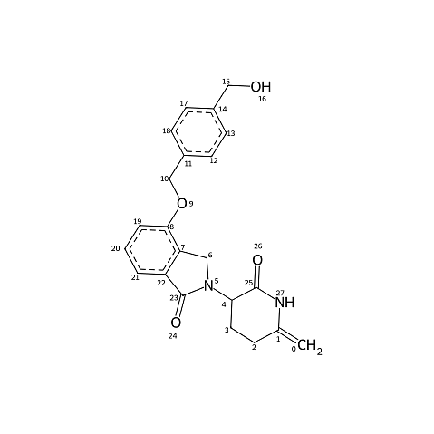 C=C1CCC(N2Cc3c(OCc4ccc(CO)cc4)cccc3C2=O)C(=O)N1